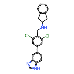 Clc1cc(-c2ccc3[nH]cnc3c2)cc(Cl)c1CNC1Cc2ccccc2C1